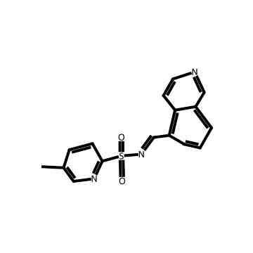 Cc1ccc(S(=O)(=O)/N=C/c2cccc3cnccc23)nc1